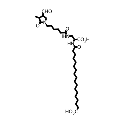 CC1C(=O)N(CCCCCC(=O)NCC(NC(=O)CCCCCCCCCCCCCCCCC(=O)O)C(=O)O)CC1C=O